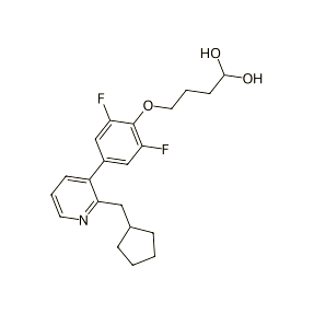 OC(O)CCCOc1c(F)cc(-c2cccnc2CC2CCCC2)cc1F